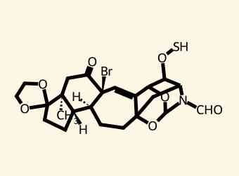 C[C@]12CC(=O)[C@]3(Br)C=C4C5OC6OC4(CC[C@H]3[C@@H]1CCC21OCCO1)CC(C5OS)N6C=O